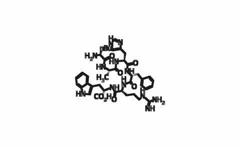 CCCC[C@H](N)C(=O)N[C@@H](C)C(=O)N[C@@H](Cc1c[nH]cn1)C(=O)N[C@H](Cc1ccccc1)C(=O)N[C@@H](CCCNC(=N)N)C(=O)N[C@@H](Cc1c[nH]c2ccccc12)C(=O)O